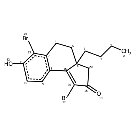 CCCCC12CCc3c(ccc(O)c3Br)C1=C(Br)C(=O)C2